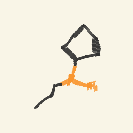 CCCP(P)c1ccccc1